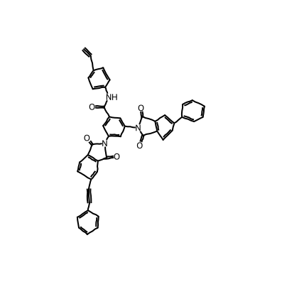 C#Cc1ccc(NC(=O)c2cc(N3C(=O)c4ccc(C#Cc5ccccc5)cc4C3=O)cc(N3C(=O)c4ccc(-c5ccccc5)cc4C3=O)c2)cc1